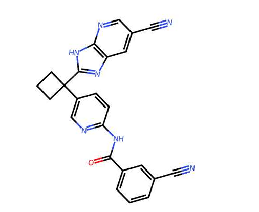 N#Cc1cccc(C(=O)Nc2ccc(C3(c4nc5cc(C#N)cnc5[nH]4)CCC3)cn2)c1